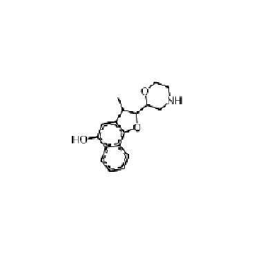 CC1c2cc(O)c3ccccc3c2OC1C1CNCCO1